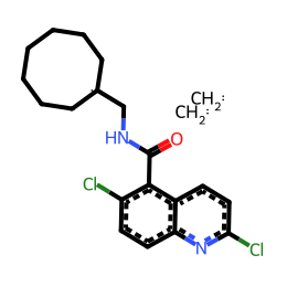 O=C(NC[C]1CCCCCCC1)c1c(Cl)ccc2nc(Cl)ccc12.[CH2].[CH2]